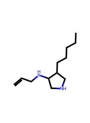 C=CCNC1CNCC1CCCCC